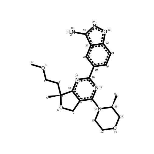 COCC[C@@]1(C)OCc2c(N3CCOC[C@@H]3C)nc(-c3ccc4onc(N)c4c3)nc21